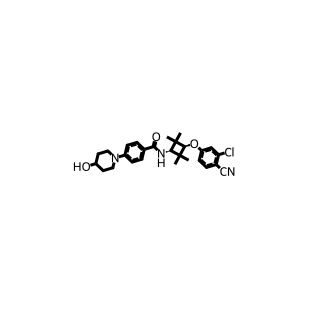 CC1(C)[C@H](NC(=O)c2ccc(N3CCC(O)CC3)cc2)C(C)(C)[C@H]1Oc1ccc(C#N)c(Cl)c1